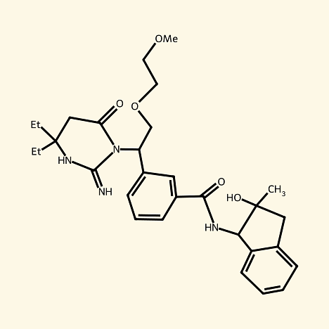 CCC1(CC)CC(=O)N(C(COCCOC)c2cccc(C(=O)NC3c4ccccc4CC3(C)O)c2)C(=N)N1